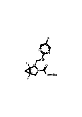 CC(C)(C)OC(=O)N1C[C@@H]2C[C@@H]2[C@H]1CNc1ncc(Br)cn1